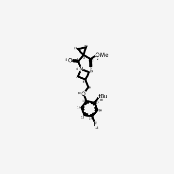 C=C(OC)C1(C(=O)N2CC(COc3ccc(F)cc3C(C)(C)C)C2)CC1